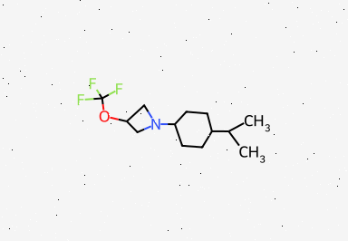 CC(C)C1CCC(N2CC(OC(F)(F)F)C2)CC1